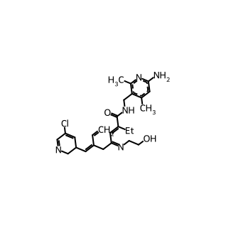 C=C/C(=C\C1C=C(Cl)C=NC1)CC(/C=C(\CC)C(=O)NCc1c(C)cc(N)nc1C)=N/CCO